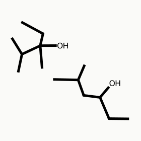 CCC(C)(O)C(C)C.CCC(O)CC(C)C